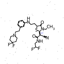 CCN1C(=O)C(CCNc2cccc(CCN3CCC(F)(F)CC3)c2)S/C1=C(/C#N)C(=O)NCC(F)F